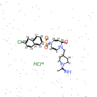 CC(=N)N1CCC(CN2C=CN(S(=O)(=O)c3ccc4cc(Cl)ccc4c3)C=CC2=O)CC1.Cl